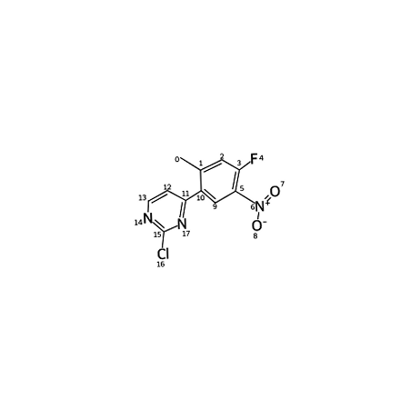 Cc1cc(F)c([N+](=O)[O-])cc1-c1ccnc(Cl)n1